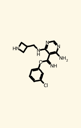 N=C(Oc1cccc(Cl)c1)c1c(N)ncnc1NCC1CNC1